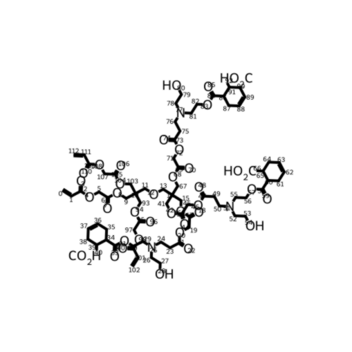 C=CC(=O)OCC(=O)OCC(COCC(COC(=O)COC(=O)CCN(CCO)CCOC(=O)C1CC=CCC1C(=O)O)(COC(=O)COC(=O)CCN(CCO)CCOC(=O)C1CC=CCC1C(=O)O)COC(=O)COC(=O)CCN(CCO)CCOC(=O)C1CC=CCC1C(=O)O)(COC(=O)COC(=O)C=C)COC(=O)COC(=O)C=C